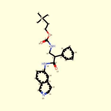 C[Si](C)(C)CCOC(=O)NCC(C(=O)Nc1ccc2cnccc2c1)c1ccccc1